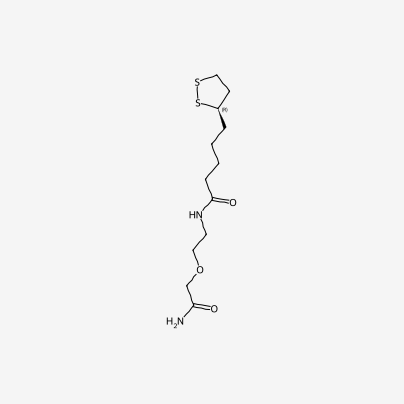 NC(=O)COCCNC(=O)CCCC[C@@H]1CCSS1